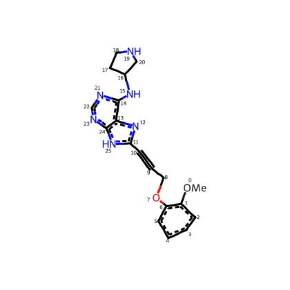 COc1ccccc1OCC#Cc1nc2c(NC3CCNC3)ncnc2[nH]1